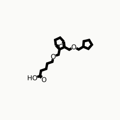 O=C(O)CCCCOCC1C2CCC(O2)C1COCC1CCCC1